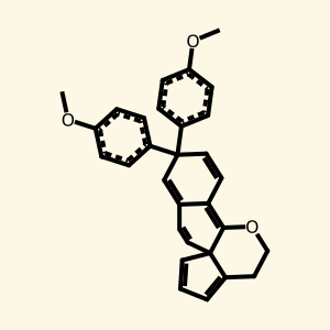 COc1ccc(C2(c3ccc(OC)cc3)C=CC3=C4OCCC5=CC=CC54C=CC3=C2)cc1